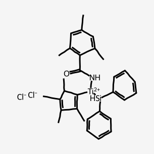 CC1=C(C)C(C)[C]([Ti+2]([NH]C(=O)c2c(C)cc(C)cc2C)[SiH](c2ccccc2)c2ccccc2)=C1C.[Cl-].[Cl-]